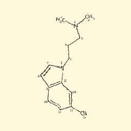 CN(C)CCCn1ccc2ccc(C#N)cc21